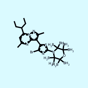 BC1(B)OC(B)(B)C(B)(B)N(c2nc(Br)c(-c3c(C)nn4c(C(CC)CC)cc(C)nc34)s2)C1(B)B